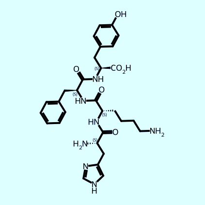 NCCCC[C@H](NC(=O)[C@@H](N)Cc1c[nH]cn1)C(=O)N[C@@H](Cc1ccccc1)C(=O)N[C@@H](Cc1ccc(O)cc1)C(=O)O